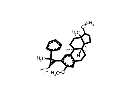 COc1cc2c(cc1C1=C(C)C1(C)c1ccccc1)[C@H]1CC[C@]3(C)[C@@H](OC)CC[C@H]3[C@@H]1CC2